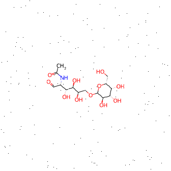 CC(=O)N[C@@H](C=O)[C@@H](O)[C@@H](O)[C@H](O)COC1O[C@H](CO)[C@H](O)[C@H](O)[C@H]1O